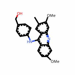 COc1ccc2c(Nc3ccc(CO)cc3)c3cc(C)c(OC)cc3nc2c1